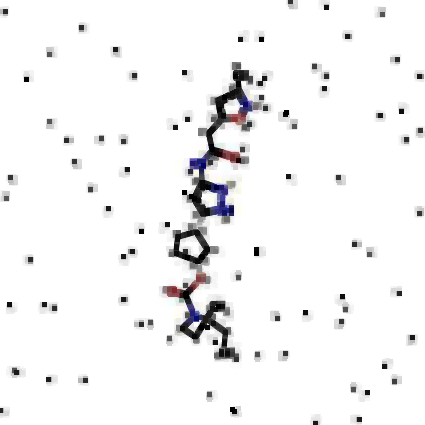 CCC1(C)CCN1C(=O)O[C@@H]1CC[C@H](c2cc(NC(=O)Cc3cc(C)no3)n[nH]2)C1